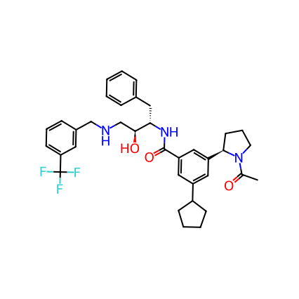 CC(=O)N1CCC[C@@H]1c1cc(C(=O)N[C@@H](Cc2ccccc2)[C@@H](O)CNCc2cccc(C(F)(F)F)c2)cc(C2CCCC2)c1